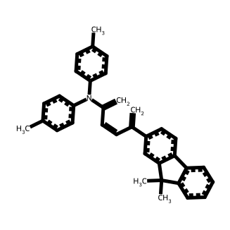 C=C(/C=C\C(=C)N(c1ccc(C)cc1)c1ccc(C)cc1)c1ccc2c(c1)C(C)(C)c1ccccc1-2